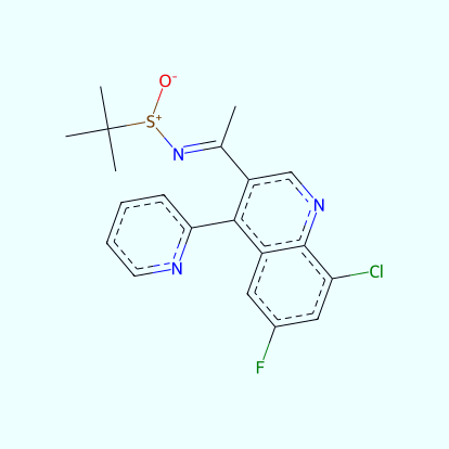 CC(=N[S+]([O-])C(C)(C)C)c1cnc2c(Cl)cc(F)cc2c1-c1ccccn1